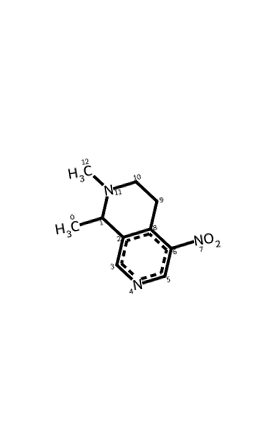 CC1c2cncc([N+](=O)[O-])c2CCN1C